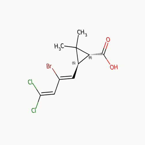 CC1(C)[C@H](C=C(Br)C=C(Cl)Cl)[C@H]1C(=O)O